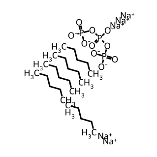 CCCCC.CCCCC.CCCCC.CCCCC.CCCCC.O=P([O-])([O-])OP(=O)([O-])OP(=O)([O-])[O-].[Na+].[Na+].[Na+].[Na+].[Na+]